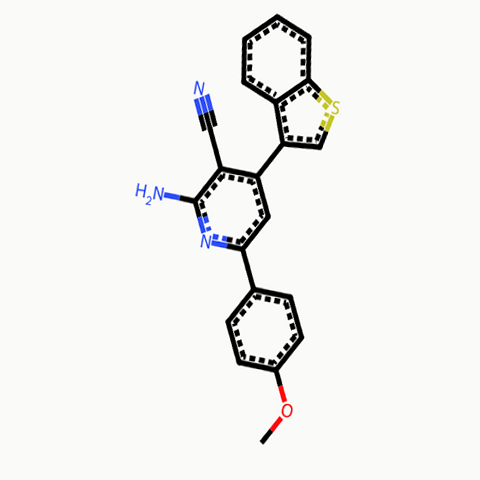 COc1ccc(-c2cc(-c3csc4ccccc34)c(C#N)c(N)n2)cc1